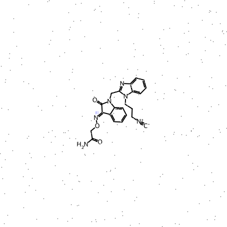 [C-]#[N+]CCCn1c(CN2C(=O)/C(=N/OCC(N)=O)c3ccccc32)nc2ccccc21